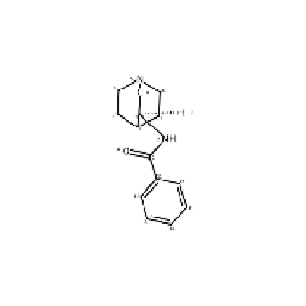 O=C(N[C@@H]1CN2CCC1CC2)c1ccccc1